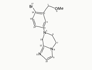 COCc1cc(N2CCn3ccnc3C2)ccc1Br